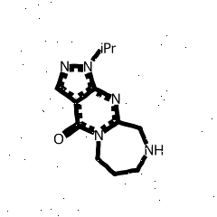 CC(C)n1ncc2c(=O)n3c(nc21)CNCCC3